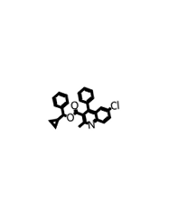 Cc1nc2ccc(Cl)cc2c(-c2ccccc2)c1C(=O)OC(c1ccccc1)C1CC1